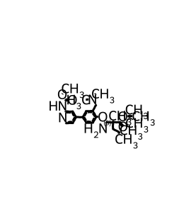 COC(=O)Nc1cc(-c2ccc(O[C@H](N)C(C)(CC(C)C)C(=O)OC(C)(C)C)c(CN(C)C)c2)ccn1